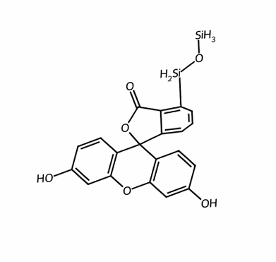 O=C1OC2(c3ccc(O)cc3Oc3cc(O)ccc32)c2cccc([SiH2]O[SiH3])c21